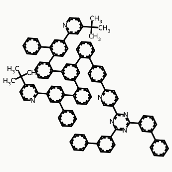 CC(C)(C)c1ccnc(-c2ccc(-c3ccccc3-c3cc(-c4ccccc4-c4ccc(-c5ccc(-c6nc(-c7cccc(-c8ccccc8)c7)nc(-c7cccc(-c8ccccc8)c7)n6)cn5)cc4)cc(-c4ccccc4-c4ccc(-c5cc(C(C)(C)C)ccn5)cc4-c4ccccc4)c3)c(-c3ccccc3)c2)c1